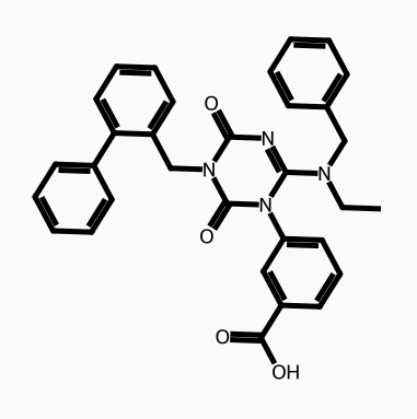 CCN(Cc1ccccc1)c1nc(=O)n(Cc2ccccc2-c2ccccc2)c(=O)n1-c1cccc(C(=O)O)c1